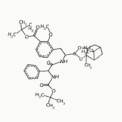 COc1c(CC(NC(=O)C(NC(=O)OC(C)(C)C)c2ccccc2)B2OC3CC4CC(C4(C)C)C3(C)O2)cccc1C(=O)OC(C)(C)C